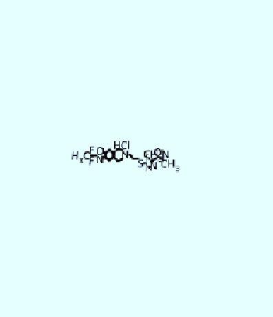 Cc1ncoc1-c1nnc(SCCCN2CCc3cc4nc(C(C)(F)F)oc4cc3CC2)n1C.Cl